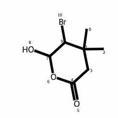 CC1(C)CC(=O)OC(O)C1Br